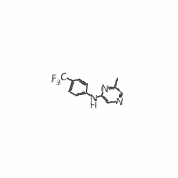 Cc1cncc(Nc2ccc(C(F)(F)F)cc2)n1